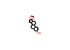 C[C@]12C=CC(O)CC1CCC1=C3C=CC4(OCCO4)[C@@]3(C)CCC12